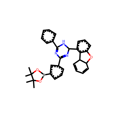 CC1(C)OB(c2cccc(C3=NC(c4cccc5c4C4C=CC=CC4O5)NC(c4ccccc4)=N3)c2)OC1(C)C